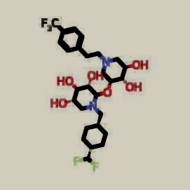 O[C@H]1[C@H](O)CN(CCc2ccc(C(F)(F)F)cc2)C[C@@H]1OC1[C@@H](O)[C@H](O)[C@@H](O)CN1C[C@H]1CC[C@H](C(F)F)CC1